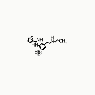 Br.Br.CCCNCCc1cccc(NC(=N)c2cccs2)c1